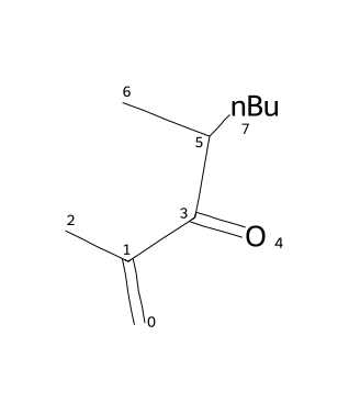 C=C(C)C(=O)C(C)CCCC